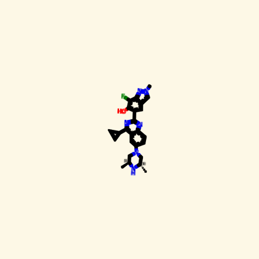 C[C@H]1CN(c2ccc3nc(-c4cc5cn(C)nc5c(F)c4O)nc(C4CC4)c3c2)C[C@H](C)N1